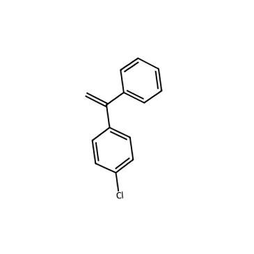 C=C(c1ccccc1)c1ccc(Cl)cc1